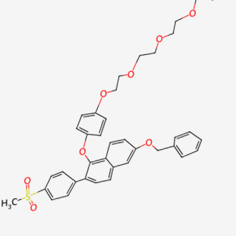 CS(=O)(=O)c1ccc(-c2ccc3cc(OCc4ccccc4)ccc3c2Oc2ccc(OCCOCCOCCOCC=O)cc2)cc1